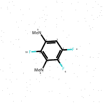 CNc1cc(F)c(F)c(NC)c1F